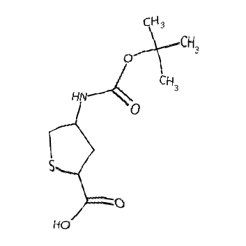 CC(C)(C)OC(=O)NC1CSC(C(=O)O)C1